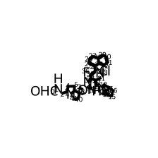 O=CNCC1CC[C@@]2(COc3nc(N4CC5CCC(C4)N5)c4cnc(-c5cccc6cccc(Cl)c56)c(F)c4n3)CCCN12